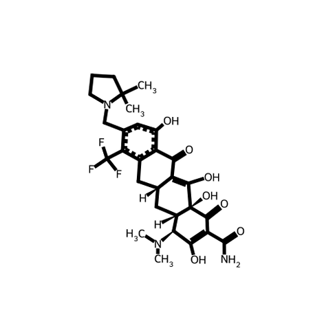 CN(C)[C@@H]1C(O)=C(C(N)=O)C(=O)[C@@]2(O)C(O)=C3C(=O)c4c(O)cc(CN5CCCC5(C)C)c(C(F)(F)F)c4C[C@H]3C[C@@H]12